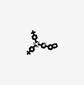 CC(C)(C)c1ccc(-c2nc(-c3ccc(C(C)(C)C)cc3)nc(-c3ccc(-c4ccc5c(c4)C4CCC5O4)nc3)n2)cc1